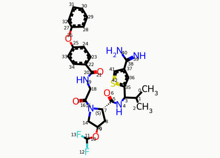 CC(C)C(NC(=O)[C@@H]1C[C@@H](OC(F)F)CN1C(=O)CNC(=O)c1ccc(Oc2ccccc2)cc1)c1cc(C(=N)N)cs1